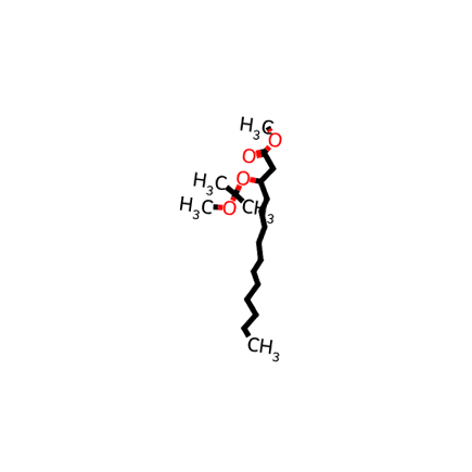 CCCCCCCCCCCC(CC(=O)OC)OC(C)(C)OC